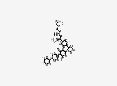 NCCCCN/C=C(\N)c1ccc(C2CCCN2c2cc(F)c(N3CCC(c4ccccc4)CC3)c(F)c2)cc1